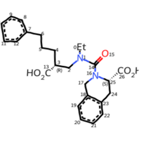 CCN(C[C@@H](CCCc1ccccc1)C(=O)O)C(=O)N1Cc2ccccc2C[C@H]1C(=O)O